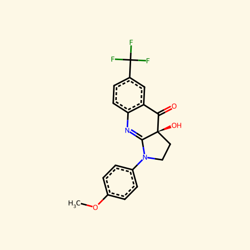 COc1ccc(N2CC[C@@]3(O)C(=O)c4cc(C(F)(F)F)ccc4N=C23)cc1